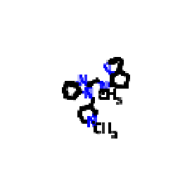 CN1CCCC(Cn2c(CN(C)C3CCCc4cccnc43)nc3ccccc32)C1